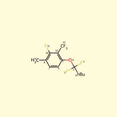 CCCCC(F)(F)Oc1ccc(C)c(F)c1C(F)(F)F